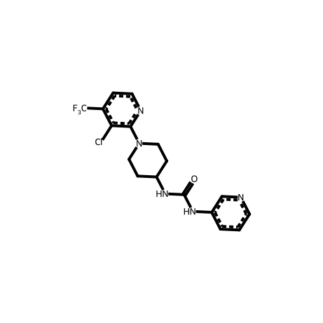 O=C(Nc1cccnc1)NC1CCN(c2nccc(C(F)(F)F)c2Cl)CC1